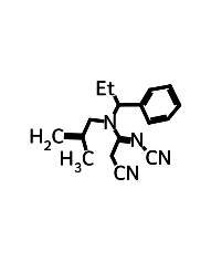 C=C(C)CN(C(CC#N)=NC#N)C(CC)c1ccccc1